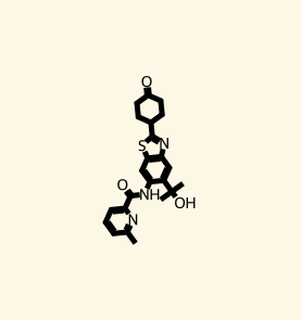 Cc1cccc(C(=O)Nc2cc3sc(C4CCC(=O)CC4)nc3cc2C(C)(C)O)n1